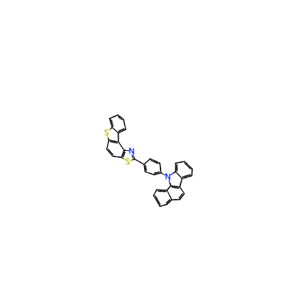 c1ccc2c(c1)ccc1c3ccccc3n(-c3ccc(-c4nc5c(ccc6sc7ccccc7c65)s4)cc3)c21